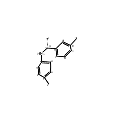 Cc1ccc(N[C@H](C)c2cccc(C)c2)cc1